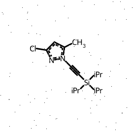 Cc1cc(Cl)nn1C#C[Si](C(C)C)(C(C)C)C(C)C